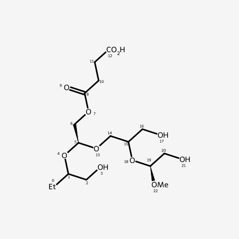 CCC(CO)O[C@@H](COC(=O)CCC(=O)O)OCC(CO)O[C@@H](CO)OC